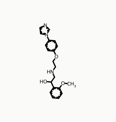 COc1ccccc1C(O)CNCCOc1ccc(-n2ccnc2)cc1